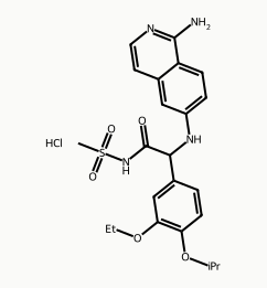 CCOc1cc(C(Nc2ccc3c(N)nccc3c2)C(=O)NS(C)(=O)=O)ccc1OC(C)C.Cl